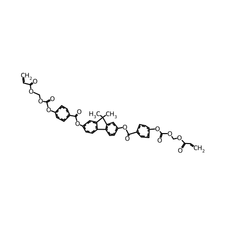 C=CC(=O)OCOC(=O)Oc1ccc(C(=O)Oc2ccc3c(c2)C(C)(C)c2cc(OC(=O)c4ccc(OC(=O)OCOC(=O)C=C)cc4)ccc2-3)cc1